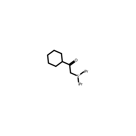 CC(C)[S+](CC(=O)C1CCCCC1)C(C)C